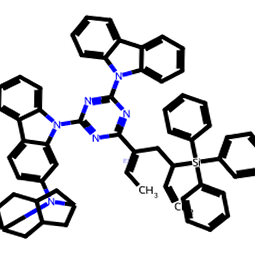 C=CC(C/C(=C\C)c1nc(-n2c3ccccc3c3ccccc32)nc(-n2c3ccccc3c3ccc(N4C5CCC6CC4CC6C5)cc32)n1)[Si](c1ccccc1)(c1ccccc1)c1ccccc1